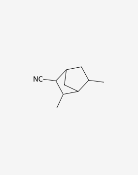 CC1CC2CC1C(C)C2C#N